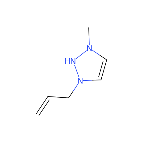 C=CCN1C=CN(C)N1